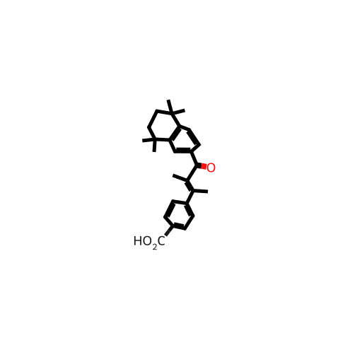 C/C(C(=O)c1ccc2c(c1)C(C)(C)CCC2(C)C)=C(/C)c1ccc(C(=O)O)cc1